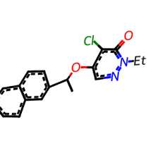 CCn1ncc(OC(C)c2ccc3ccccc3c2)c(Cl)c1=O